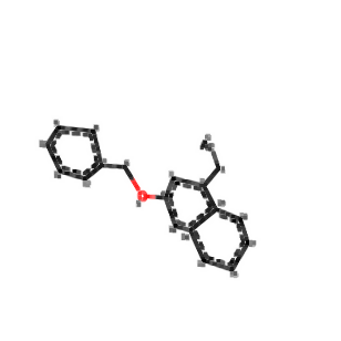 CC(=O)Cc1cc(OCc2ccccc2)cc2ccccc12